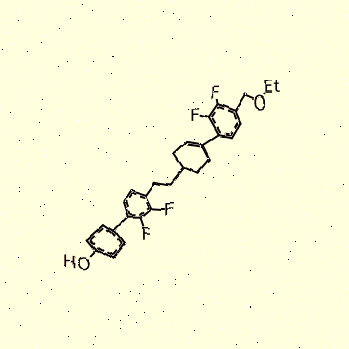 CCOCc1ccc(C2=CCC(CCc3ccc(-c4ccc(O)cc4)c(F)c3F)CC2)c(F)c1F